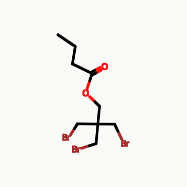 CCCC(=O)OCC(CBr)(CBr)CBr